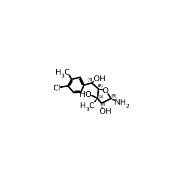 Cc1cc([C@@H](O)[C@H]2O[C@@H](N)[C@H](O)[C@]2(C)O)ccc1Cl